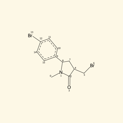 CN1C(=O)C(CBr)CC1c1ccc(Br)cc1